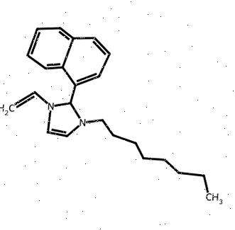 C=CN1C=CN(CCCCCCCC)C1c1cccc2ccccc12